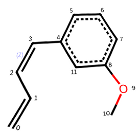 C=C/C=C\c1cccc(OC)c1